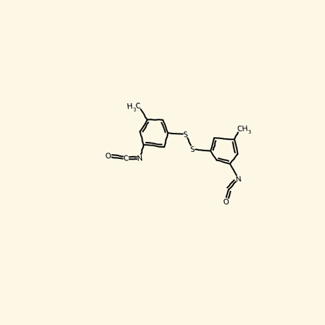 Cc1cc(N=C=O)cc(SSc2cc(C)cc(N=C=O)c2)c1